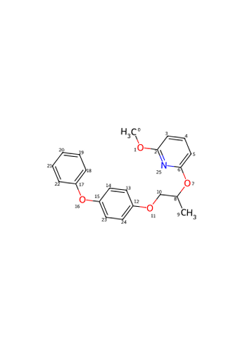 COc1cccc(OC(C)COc2ccc(Oc3ccccc3)cc2)n1